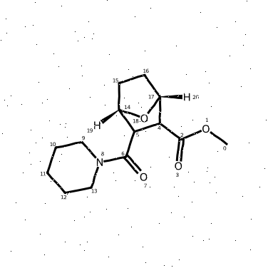 COC(=O)C1C(C(=O)N2CCCCC2)[C@@H]2CC[C@H]1O2